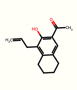 C=CCc1c(O)c(C(C)=O)cc2c1CCCC2